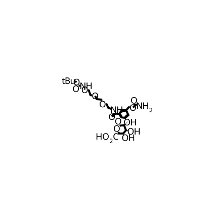 CC(C)(C)OC(=O)NOCCOCCOCCNC(=O)c1cc(COC(N)=O)ccc1O[C@@H]1O[C@H](C(=O)O)[C@@H](O)[C@H](O)[C@H]1O